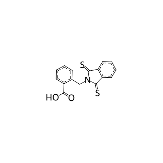 O=C(O)c1ccccc1CN1C(=S)c2ccccc2C1=S